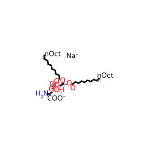 CCCCCCCC/C=C\CCCCCCCC(=O)OC[C@H](COP(=O)(O)OC[C@H](N)C(=O)[O-])OC(=O)CCCCCCC/C=C\CCCCCCCC.[Na+]